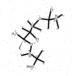 CCC(C)(O[Si](C)(C)C(C)(CC)[C@](C)(P)O[SiH](C)C(C)(C)OC)[SiH](C)C